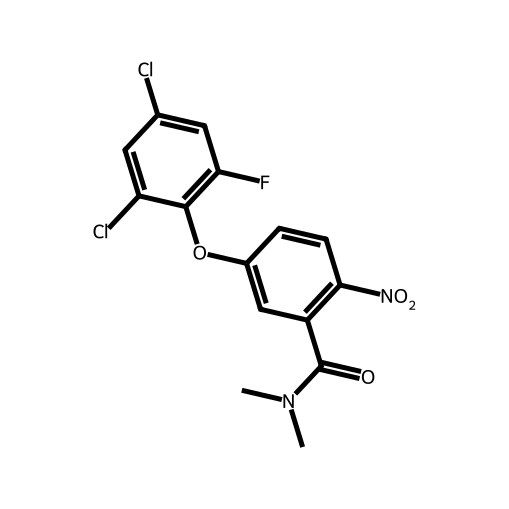 CN(C)C(=O)c1cc(Oc2c(F)cc(Cl)cc2Cl)ccc1[N+](=O)[O-]